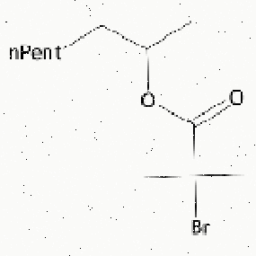 CCCCCCC(C)OC(=O)C(C)(C)Br